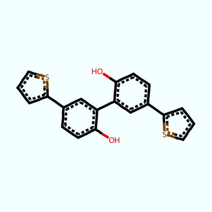 Oc1ccc(-c2cccs2)cc1-c1cc(-c2cccs2)ccc1O